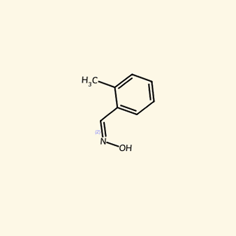 Cc1ccccc1/C=N\O